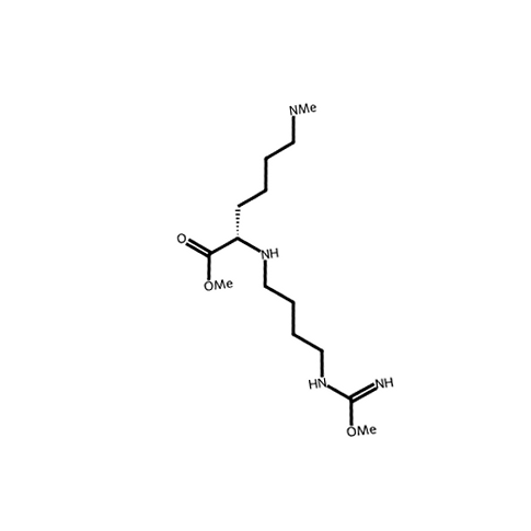 CNCCCC[C@H](NCCCCNC(=N)OC)C(=O)OC